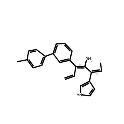 C=C/C(=C(N)\C(=C/C)c1cc[nH]c1)c1cccc(-c2ccc(C)cc2)c1